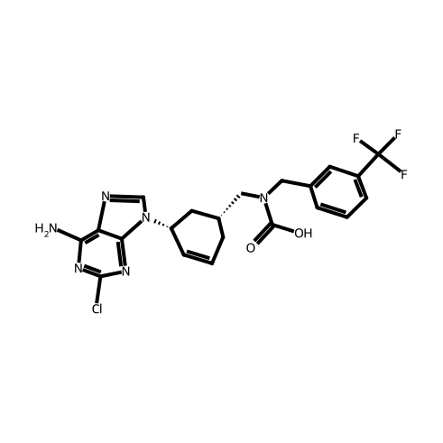 Nc1nc(Cl)nc2c1ncn2[C@H]1C=CC[C@@H](CN(Cc2cccc(C(F)(F)F)c2)C(=O)O)C1